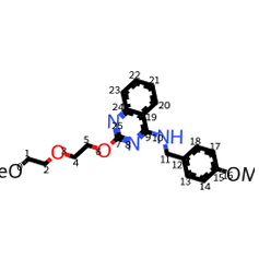 COCCOCCOc1nc(NCc2ccc(OC)cc2)c2ccccc2n1